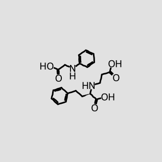 O=C(O)CCN[C@H](CCc1ccccc1)C(=O)O.O=C(O)CNc1ccccc1